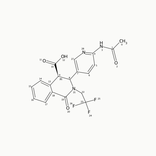 CC(=O)Nc1ccc(C2[C@H](C(=O)O)c3ccccc3C(=O)N2CC(F)(F)F)cn1